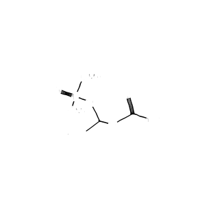 CCCC(=O)OC(OP(=O)(OC)OC)C(Cl)(Cl)Cl